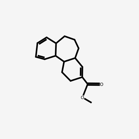 COC(=O)C1=CC2CCCC3C=CC=CC3C2CC1